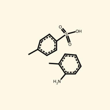 Cc1ccc(S(=O)(=O)O)cc1.Cc1ccccc1N